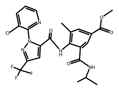 COC(=O)c1cc(C)c(NC(=O)c2cc(C(F)(F)F)nn2-c2ncccc2Cl)c(C(=O)NC(C)C)c1